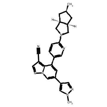 C[C@@H]1C[C@@H]2CN(c3ccc(-c4cc(-c5cnn(C)c5)cn5ncc(C#N)c45)cn3)C[C@@H]2C1